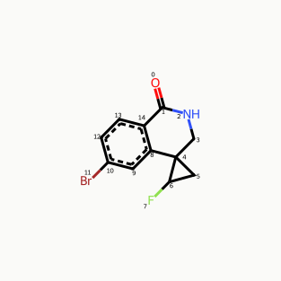 O=C1NCC2(CC2F)c2cc(Br)ccc21